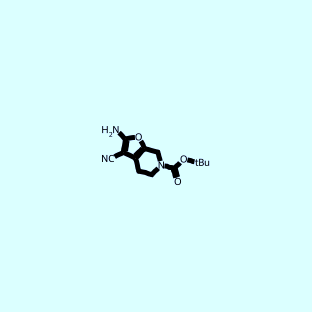 CC(C)(C)OC(=O)N1CCc2c(oc(N)c2C#N)C1